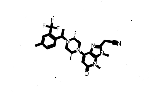 Cc1ccc(C(C)N2C[C@H](C)N(c3cc(=O)n(C)c4c3nc(CC#N)n4C)C[C@H]2C)c(C(F)(F)F)c1